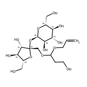 C=CCOC(CCO)OC[C@@]1(O[C@H]2O[C@H](CO)[C@@H](O)[C@H](O)[C@H]2O)O[C@H](CO)[C@@H](O)[C@@H]1O